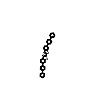 c1ccc(-c2ccc(-c3ccc4c(c3)sc3c4sc4c5ccc(-c6ccc(-c7ccccc7)cc6)cc5sc43)cc2)cc1